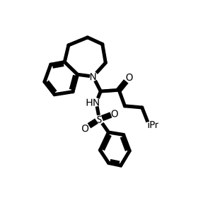 CC(C)CCC(=O)C(NS(=O)(=O)c1ccccc1)N1CCCCc2ccccc21